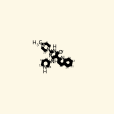 CN1CCN(c2nc(N[C@@H]3CCCNC3)c(-c3ccc4ccccc4n3)c(=O)[nH]2)CC1